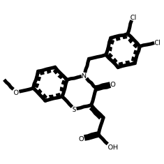 COc1ccc2c(c1)SC(=CC(=O)O)C(=O)N2Cc1ccc(Cl)c(Cl)c1